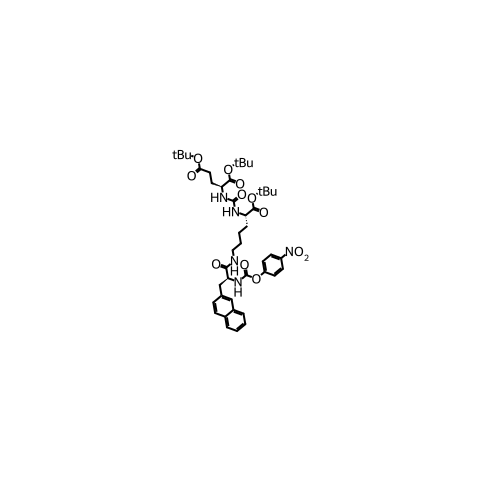 CC(C)(C)OC(=O)CC[C@H](NC(=O)N[C@@H](CCCCNC(=O)[C@H](Cc1ccc2ccccc2c1)NC(=O)Oc1ccc([N+](=O)[O-])cc1)C(=O)OC(C)(C)C)C(=O)OC(C)(C)C